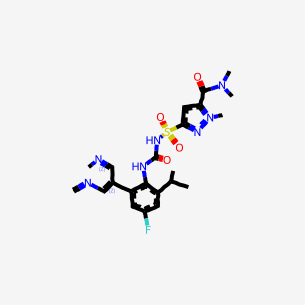 C=N/C=C(\C=N/C)c1cc(F)cc(C(C)C)c1NC(=O)NS(=O)(=O)c1cc(C(=O)N(C)C)n(C)n1